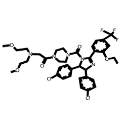 CCOc1cc(C(F)(F)F)ccc1C1=NC(c2ccc(Cl)cc2)C(c2ccc(Cl)cc2)N1C(=O)N1CCN(C(=O)CN(CCOC)CCOC)CC1